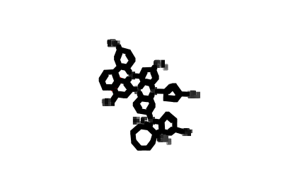 Cc1cc2c3c(c1)N(c1ccc(C(C)(C)C)cc1-c1ccccc1)c1ccc(C(C)(C)C)cc1B3c1ccc(N3c4ccc(C(C)C)cc4C4(C)CCCCCCC34C)cc1N2c1ccc(C(C)(C)C)cc1